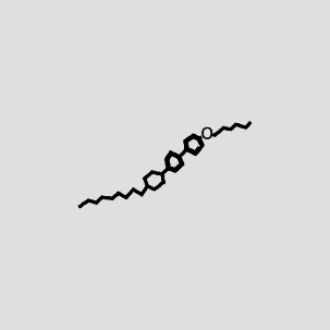 CCCCCCCCCC1CCC(c2ccc(-c3ccc(OCCCCCC)cc3)cc2)CC1